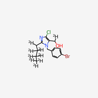 [2H]C(O)c1c(Cl)nc(C([2H])C([2H])([2H])C([2H])([2H])C([2H])([2H])[2H])n1Cc1ccc(Br)cc1